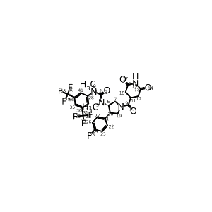 CN(C(=O)N(C)[C@@H]1CN(C(=O)C2CC(=O)NC(=O)C2)C[C@H]1c1ccc(F)cc1)c1cc(C(F)(F)F)cc(C(F)(F)F)c1